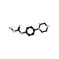 CCOC(=S)Sc1ccc(N2CCSCC2)cc1